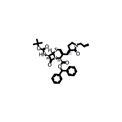 C=CCN1CC/C(=C\C2=CS[C@@H]3[C@H](NC(=O)OC(C)(C)C)C(=O)N3[C@@H]2C(=O)OC(c2ccccc2)c2ccccc2)C1=O